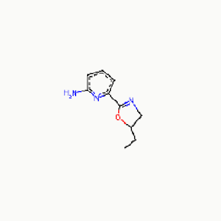 CCC1CN=C(c2cccc(N)n2)O1